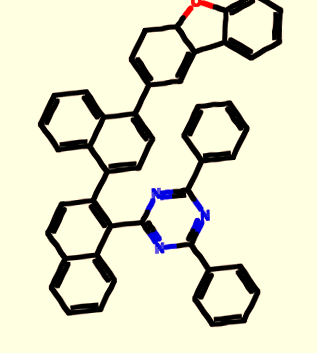 C1=C(c2ccc(-c3ccc4ccccc4c3-c3nc(-c4ccccc4)nc(-c4ccccc4)n3)c3ccccc23)C=C2c3ccccc3OC2C1